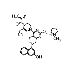 C=C(F)C(=O)N1CCN(c2nc(OC[C@@H]3CCCN3C)nc3c2CCN(c2cc(O)cc4ccccc24)C3)C=C1CC#N